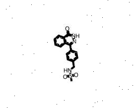 CS(=O)(=O)NCc1ccc(-c2n[nH]c(=O)c3ccccc23)cc1